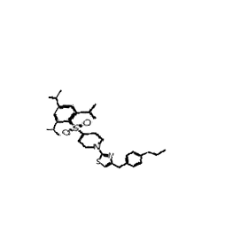 CCCc1ccc(Cc2csc(N3CCC(S(=O)(=O)c4c(C(C)C)cc(C(C)C)cc4C(C)C)CC3)n2)cc1